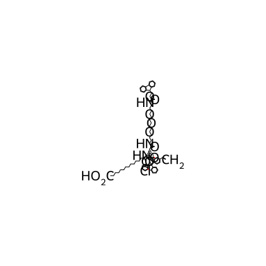 C=Cc1ccc(C(OC(=O)[C@H](CCC(=O)NCCCOCCOCCOCCCNC(=O)OCC2c3ccccc3-c3ccccc32)NC(=O)CCCCCCCCCCCCC(=O)O)(c2ccccc2)c2ccccc2Cl)cc1